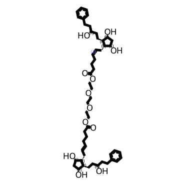 O=C(CCCC=CC[C@@H]1[C@@H](CC[C@@H](O)CCc2ccccc2)[C@H](O)C[C@@H]1O)OCCOCCOCCOC(=O)CCC/C=C\C[C@@H]1[C@@H](CC[C@@H](O)CCc2ccccc2)[C@H](O)C[C@@H]1O